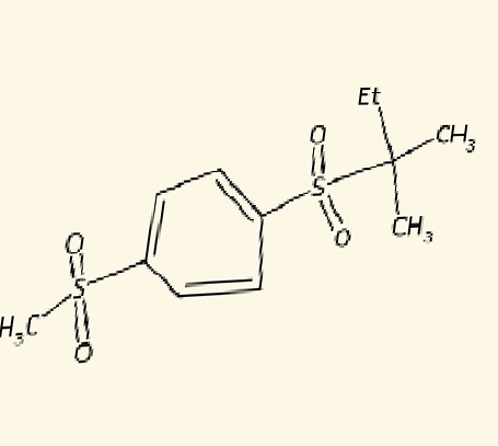 CCC(C)(C)S(=O)(=O)c1ccc(S(C)(=O)=O)cc1